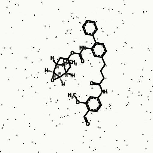 COc1cc(NC(=O)CCCc2ccc(-c3ccccc3)c(NC(=O)OC3C[C@@H]4[C@H]5O[C@H]5[C@H](C3)[N+]4(C)C)c2)ccc1C=O